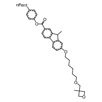 CCCCCc1ccc(OC(=O)c2ccc3c(c2)C(C)c2cc(OCCCCCCOCC4(C)COC4)ccc2-3)cc1